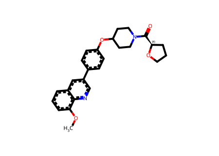 COc1cccc2cc(-c3ccc(OC4CCN(C(=O)[C@H]5CCCO5)CC4)cc3)cnc12